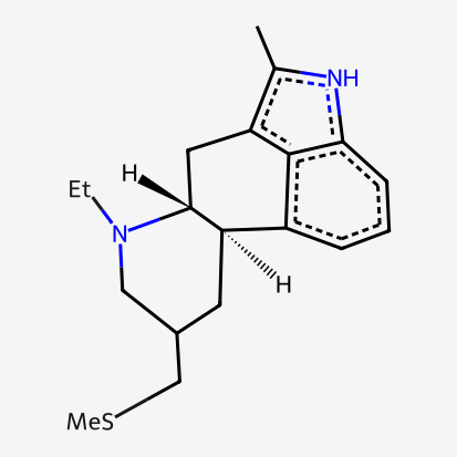 CCN1CC(CSC)C[C@@H]2c3cccc4[nH]c(C)c(c34)C[C@H]21